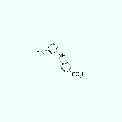 O=C(O)c1ccc(CNc2cccc(C(F)(F)F)c2)cc1